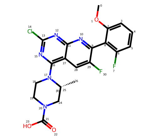 COc1cccc(F)c1-c1nc2nc(Cl)nc(N3CCN(C(=O)O)C[C@H]3C)c2cc1F